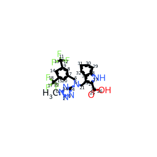 Cn1nnc(N(Cc2cc(C(F)(F)F)cc(C(F)(F)F)c2)Cc2c(C(=O)O)[nH]c3ccccc23)n1